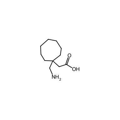 NCC1(CC(=O)O)CCCCCCC1